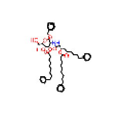 O=C(CC(CCCCCCc1ccccc1)OC(=O)CCCCCCCCc1ccccc1)N[C@H]1[C@H](OCc2ccccc2)O[C@H](CO)[C@@H](O)[C@@H]1OC(=O)CCCCCCCCc1ccccc1